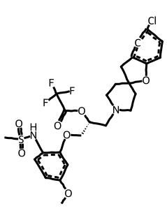 COc1ccc(NS(C)(=O)=O)c(OC[C@@H](CN2CCC3(CC2)Cc2cc(Cl)ccc2O3)OC(=O)C(F)(F)F)c1